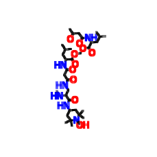 CNC(CNC(=O)CC(=O)NC(CC(C)C)C(=O)OCOC(=O)C(CC(C)C)NC(=O)CC(C)=O)C(=O)NC1CC(C)(C)N(O)C(C)(C)C1